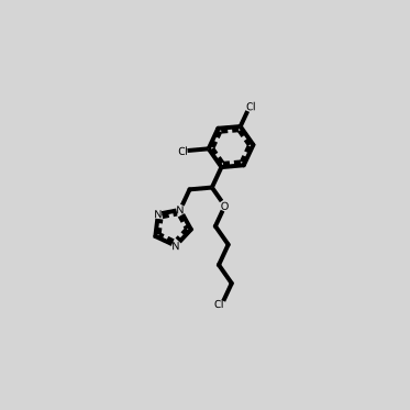 ClCCCCOC(Cn1cncn1)c1ccc(Cl)cc1Cl